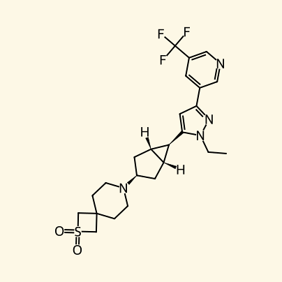 CCn1nc(-c2cncc(C(F)(F)F)c2)cc1[C@H]1[C@@H]2C[C@@H](N3CCC4(CC3)CS(=O)(=O)C4)C[C@@H]21